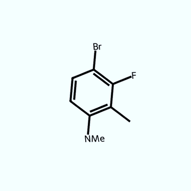 CNc1ccc(Br)c(F)c1C